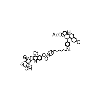 CCc1c2c(nc3ccc(OC(=O)N4CCN(CCCCCCN(C)c5ccc(C6CC7(C)[C@H](OC(C)=O)CC[C@H]7C7CCC8=CC(=O)CCC8=C67)cc5)CC4)cc13)-c1cc3c(c(=O)n1C2)COC[C@]3(O)CC